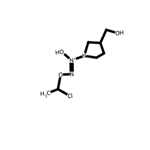 CC(Cl)O/N=[N+](\O)N1CCC(CO)C1